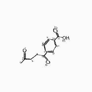 CC(=O)CCC(=O)c1ccc(C(=O)O)cc1